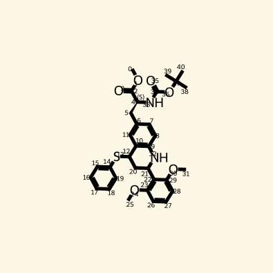 COC(=O)[C@H](Cc1ccc2c(c1)C(Sc1ccccc1)CC(c1c(OC)cccc1OC)N2)NC(=O)OC(C)(C)C